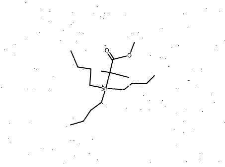 CCC[CH2][Sn]([CH2]CCC)([CH2]CCC)[C](C)(C)C(=O)OC